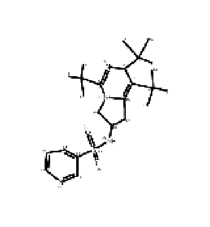 CC(C)(C)C1=NC(C(C)(C)C)C(C(C)(C)C)=C2CC(NS(=O)(=O)c3cccnc3)CN12